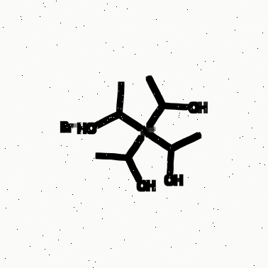 CC(O)[N+](C(C)O)(C(C)O)C(C)O.[Br-]